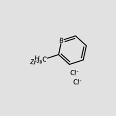 Cc1bcccc1.[Cl-].[Cl-].[Zr+2]